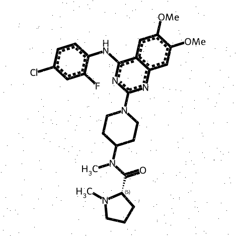 COc1cc2nc(N3CCC(N(C)C(=O)[C@@H]4CCCN4C)CC3)nc(Nc3ccc(Cl)cc3F)c2cc1OC